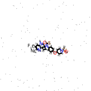 CN(C(=O)C1(N(C=S)c2ccc(OC3CCN([S+](C)[O-])CC3)cc2)CCC1)c1cnc(C#N)c(C(F)(F)F)c1